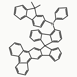 CC1(C)c2ccccc2-c2ccc(N(c3ccccc3)c3cccc4c3-c3ccccc3C43c4ccccc4-c4cc5c6ccccc6c6ccccc6c5cc43)cc21